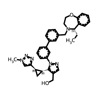 CC[C@H]1c2ccccc2OCCN1Cc1cccc(-c2cccc(-n3ncc(CO)c3[C@@H]3C[C@H]3c3cn(C)nn3)c2)c1